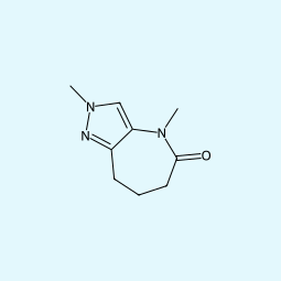 CN1C(=O)CCCc2nn(C)cc21